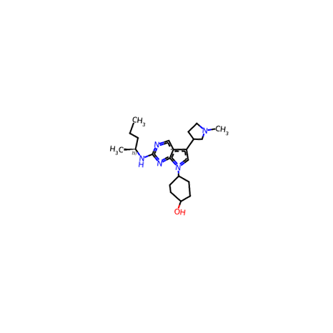 CCC[C@H](C)Nc1ncc2c(C3CCN(C)C3)cn(C3CCC(O)CC3)c2n1